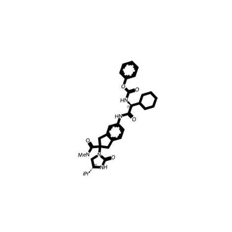 CNC(=O)C1(N2C[C@@H](C(C)C)NC2=O)Cc2ccc(NC(=O)[C@@H](NC(=O)Oc3ccccc3)C3CCCCC3)cc2C1